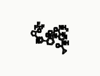 COc1c(Nc2cc(NC(=O)C3CC3)nnc2C(N)=O)cccc1-c1cnn(C2CCCC2OC(F)(F)F)c1